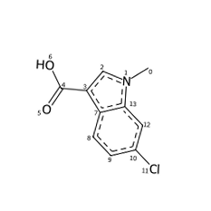 Cn1cc(C(=O)O)c2ccc(Cl)cc21